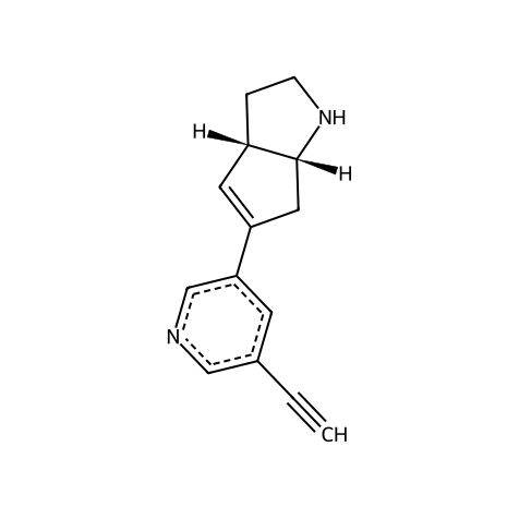 C#Cc1cncc(C2=C[C@@H]3CCN[C@@H]3C2)c1